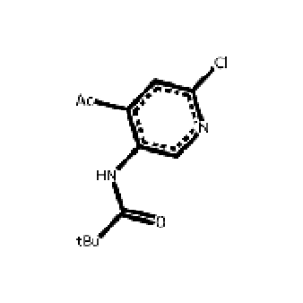 CC(=O)c1cc(Cl)ncc1NC(=O)C(C)(C)C